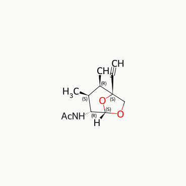 C#C[C@@]12CO[C@@H](O1)[C@H](NC(C)=O)[C@@H](C)[C@H]2C